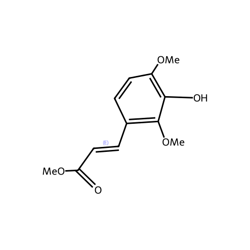 COC(=O)/C=C/c1ccc(OC)c(O)c1OC